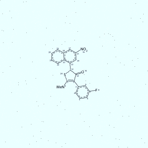 CNC1=C(c2cccc(F)c2)C(=O)C(c2cc([N+](=O)[O-])cc3ccccc23)S1